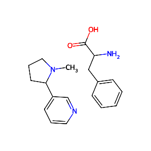 CN1CCCC1c1cccnc1.NC(Cc1ccccc1)C(=O)O